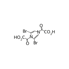 O=C(O)C(=O)N1C=C(Br)N(C(=O)C(=O)O)C(Br)=C1